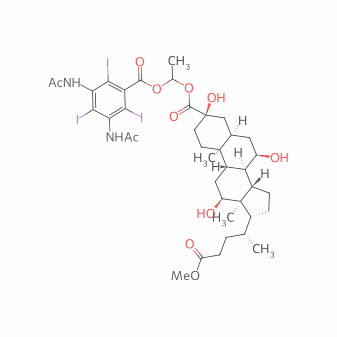 COC(=O)CC[C@@H](C)[C@H]1CC[C@H]2[C@@H]3[C@H](O)C[C@@H]4C[C@@](O)(C(=O)OC(C)OC(=O)c5c(I)c(NC(C)=O)c(I)c(NC(C)=O)c5I)CC[C@]4(C)[C@H]3C[C@H](O)[C@]12C